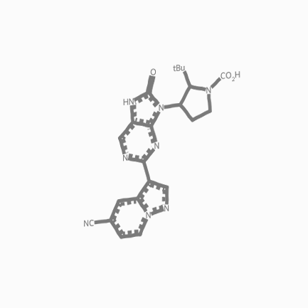 CC(C)(C)C1C(n2c(=O)[nH]c3cnc(-c4cnn5ccc(C#N)cc45)nc32)CCN1C(=O)O